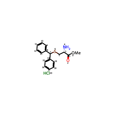 COC(=O)[C@@H](N)CSC(c1ccccc1)c1ccccc1.Cl